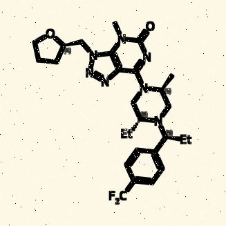 CC[C@@H]1CN(c2nc(=O)n(C)c3c2nnn3C[C@H]2CCCO2)[C@@H](C)CN1[C@@H](CC)c1ccc(C(F)(F)F)cc1